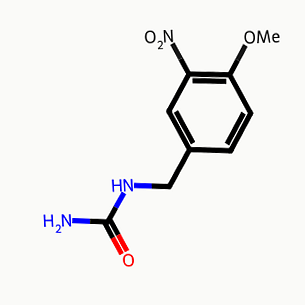 COc1ccc(CNC(N)=O)cc1[N+](=O)[O-]